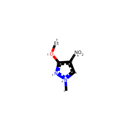 CCOc1nn(C)cc1[N+](=O)[O-]